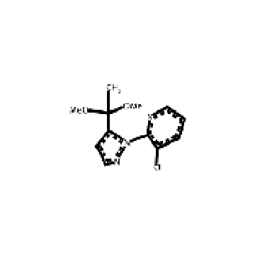 COC(C)(OC)c1[c]cnn1-c1ncccc1Cl